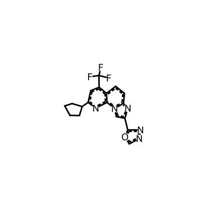 FC(F)(F)c1cc(C2CCCC2)nc2c1ccc1nc(-c3nnco3)cn12